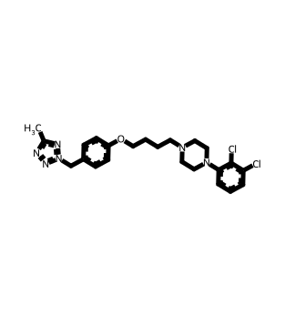 Cc1nnn(Cc2ccc(OCCCCN3CCN(c4cccc(Cl)c4Cl)CC3)cc2)n1